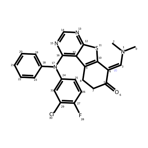 CN(C)/C=C1/C(=O)CCc2c1sc1ncnc(N(c3ccccc3)c3ccc(F)c(Cl)c3)c21